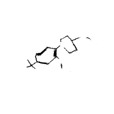 COc1cc(C(C)(C)C)ccc1N1CCC(OC)CC1